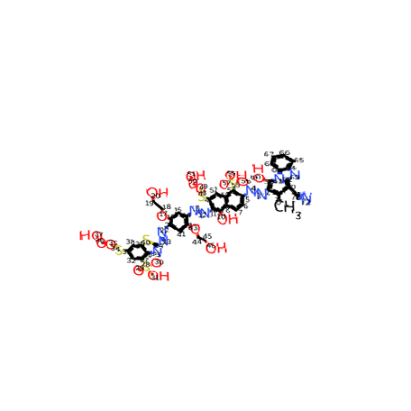 Cc1c(N=Nc2ccc3c(O)c(N=Nc4cc(OCCO)c(N=Nc5nc6c(S(=O)(=O)O)cc(SOOO)cc6s5)cc4OCCO)c(SOOO)cc3c2S(=O)(=O)O)c(O)n2c(nc3ccccc32)c1C#N